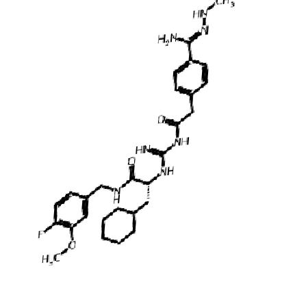 CN/N=C(\N)c1ccc(CC(=O)NC(=N)N[C@H](CC2CCCCC2)C(=O)NCc2ccc(F)c(OC)c2)cc1